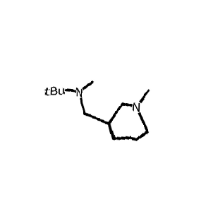 CN1CCCC(CN(C)C(C)(C)C)C1